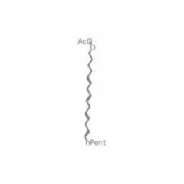 CCCCC/C=C/C/C=C/C/C=C/C/C=C/CCCCOOC(C)=O